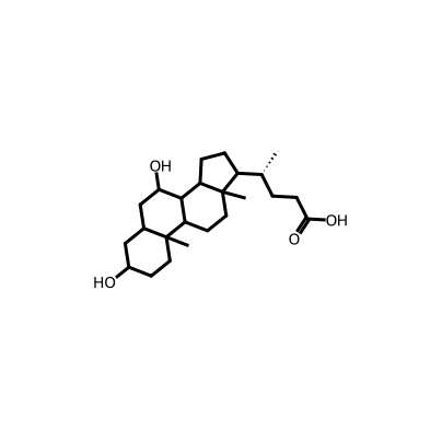 C[C@H](CCC(=O)O)C1CCC2C3C(O)CC4CC(O)CCC4(C)C3CCC21C